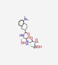 CC(C)C[C@H](NC(=O)[C@H](CO)NC(=O)C1CCc2c(cccc2N(C)C)C1)C(=O)[C@@]1(CO)CO1